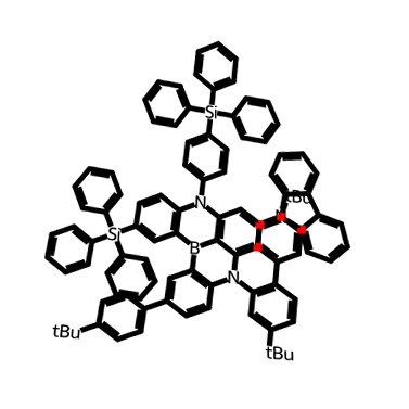 CC(C)(C)c1ccc(-c2ccc3c(c2)B2c4cc([Si](c5ccccc5)(c5ccccc5)c5ccccc5)ccc4N(c4ccc([Si](c5ccccc5)(c5ccccc5)c5ccccc5)cc4)c4cc(-n5c6ccccc6c6ccccc65)cc(c42)N3c2cc(C(C)(C)C)ccc2-c2ccc(C(C)(C)C)cc2)cc1